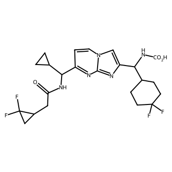 O=C(O)NC(c1cn2ccc(C(NC(=O)CC3CC3(F)F)C3CC3)nc2n1)C1CCC(F)(F)CC1